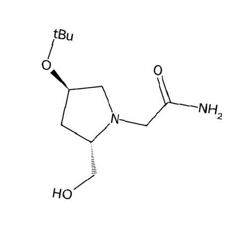 CC(C)(C)O[C@@H]1C[C@@H](CO)N(CC(N)=O)C1